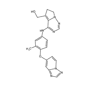 Cc1cc(NC2=NC=NN3CCC(CO)=C23)ccc1Oc1ccn2ncnc2c1